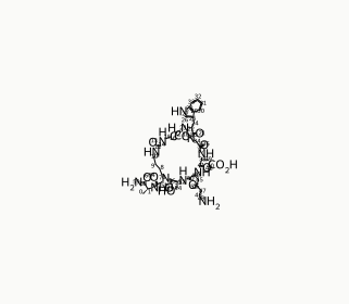 C[C@H](NC(=O)CN1CCCCNC(=O)NCCCCN(C(=O)[C@@H](N)Cc2c[nH]c3c2C=C=C=C3)CC(=O)N[C@@H](CC(=O)O)C(=O)N[C@@H](CCCCN)C(=O)N[C@@H](CO)C1=O)C(N)=O